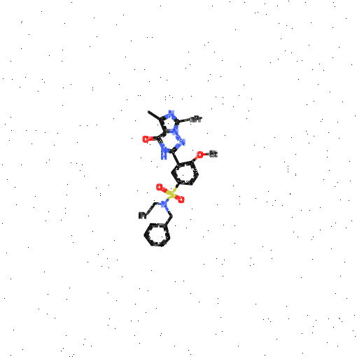 CCCc1nc(C)c2c(=O)[nH]c(-c3cc(S(=O)(=O)N(Cc4ccccc4)CC(C)C)ccc3OCC)nn12